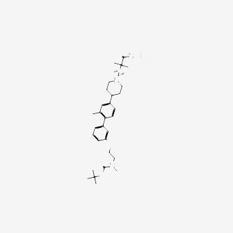 Cc1cc(C2CCN(S(=O)(=O)C(C)(C)C(N)=O)CC2)ccc1-c1cccc(OCCN(C)C(=O)OC(C)(C)C)c1